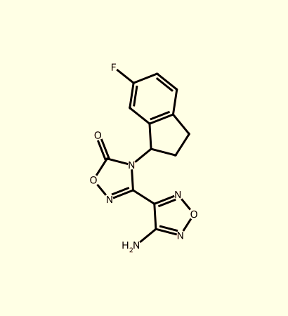 Nc1nonc1-c1noc(=O)n1C1CCc2ccc(F)cc21